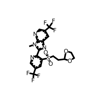 Cn1c(-c2ncc(C(F)(F)F)cc2S(=O)(=O)CCC2OCCO2)nc2cc(C(F)(F)F)cnc21